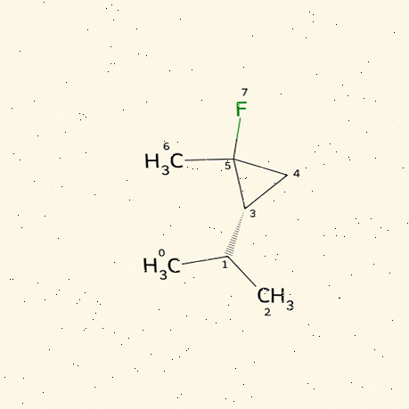 CC(C)[C@H]1CC1(C)F